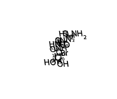 N[C@H]1CN(C(=O)NS(=O)(=O)NNC(=O)c2cc(O)c(O)cc2Br)C1=O